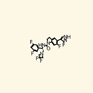 O=C(N[C@H](CN1CC(F)(F)C1)c1cc(F)cc(F)c1)N1CCc2cc(-c3c[nH]nc3F)c(F)cc21